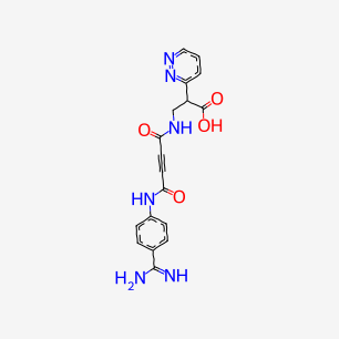 N=C(N)c1ccc(NC(=O)C#CC(=O)NCC(C(=O)O)c2cccnn2)cc1